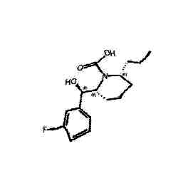 CCC[C@@H]1CCC[C@H]([C@H](O)c2cccc(F)c2)N1C(=O)O